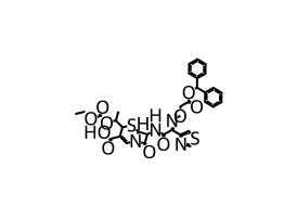 CCOC(=O)OC(C)C1S[C@@H]2C(NC(=O)C(=NOCC(=O)OC(c3ccccc3)c3ccccc3)c3cscn3)C(=O)N2C=C1C(=O)O